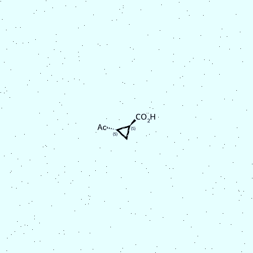 CC(=O)[C@H]1C[C@@H]1C(=O)O